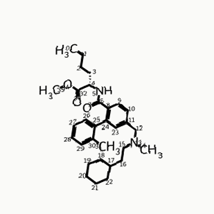 CCCC[C@H](NC(=O)c1ccc(CN(C)CCC2CCCCC2)cc1-c1ccccc1C)C(=O)OC